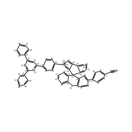 N#Cc1ccc(-c2ccc3c(c2)C2(c4ccccc4S3)c3ccccc3-c3ccc(-c4ccc(-c5cc(-c6ccccc6)nc(-c6ccccc6)n5)cc4)cc32)cc1